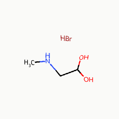 Br.CNCC(O)O